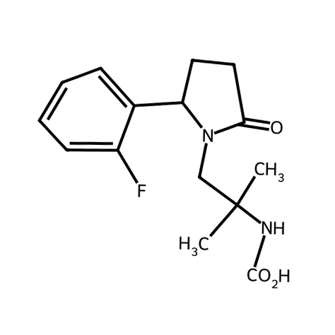 CC(C)(CN1C(=O)CCC1c1ccccc1F)NC(=O)O